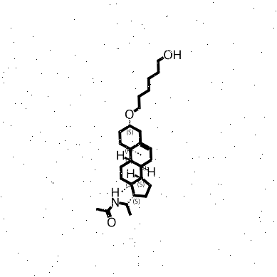 CC(=O)NC(C)[C@H]1CC[C@H]2[C@@H]3CC=C4C[C@@H](OCCCCCCO)CC[C@]4(C)[C@H]3CC[C@]12C